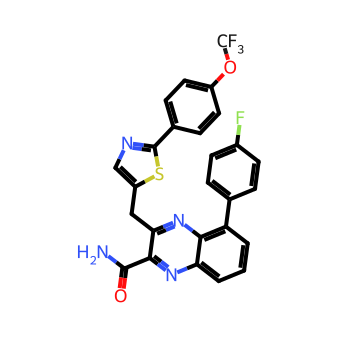 NC(=O)c1nc2cccc(-c3ccc(F)cc3)c2nc1Cc1cnc(-c2ccc(OC(F)(F)F)cc2)s1